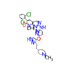 CN1CCC(CCc2n[nH]cc2Oc2ccc(Nc3ncc4cc(-c5c(Cl)cccc5Cl)c(=O)n(C)c4n3)nn2)CC1